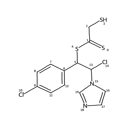 S=C(CS)SC(c1ccc(Cl)cc1)C(Cl)n1ccnc1